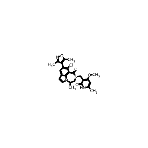 COc1cc(C)[nH]c(=O)c1CN1CC(C)n2ccc3cc(-c4c(C)noc4C)c(Cl)c(c32)C1=O